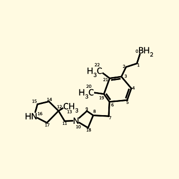 BCCc1ccc(CC2CN(CC3(C)CCNC3)C2)c(C)c1C